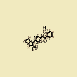 Cc1ccccc1C(=O)Nc1cnc(C2=C(C(F)(F)F)CC3CCCC23)cn1